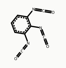 O=C=Nc1cccc(N=C=O)c1N=C=O